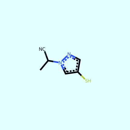 CC(C#N)n1cc(S)cn1